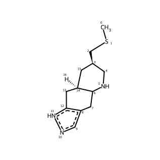 CSC[C@H]1CNC2Cc3cn[nH]c3C[C@H]2C1